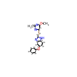 COc1cc(SCc2nc3cc(Oc4ccccc4)ccc3[nH]2)nc(C)n1